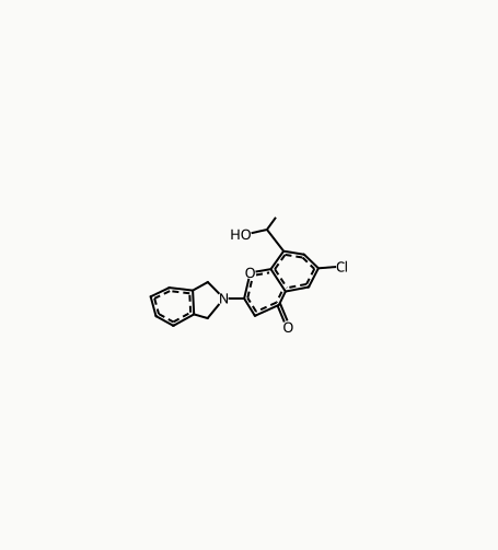 CC(O)c1cc(Cl)cc2c(=O)cc(N3Cc4ccccc4C3)oc12